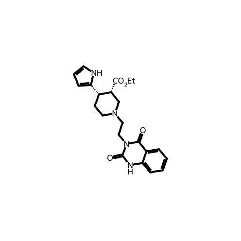 CCOC(=O)[C@@H]1CN(CCn2c(=O)[nH]c3ccccc3c2=O)CC[C@@H]1c1ccc[nH]1